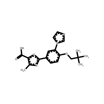 Cc1nc(-c2ccc(OCC(C)(C)C)c(-n3ccnc3)c2)sc1C(=O)O